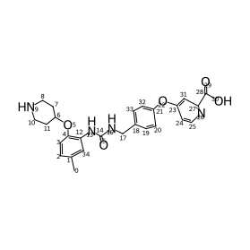 Cc1ccc(OC2CCNCC2)c(NC(=O)NCc2ccc(Oc3ccnc(C(=O)O)c3)cc2)c1